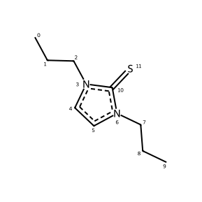 CCCn1ccn(CCC)c1=S